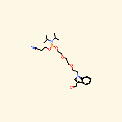 CC(C)N(C(C)C)P(OCCC#N)OCCOCCOCCn1cc(C=O)c2ccccc21